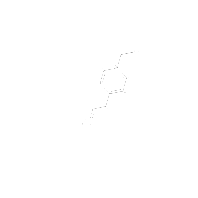 C=CCc1ccc(CI)cc1